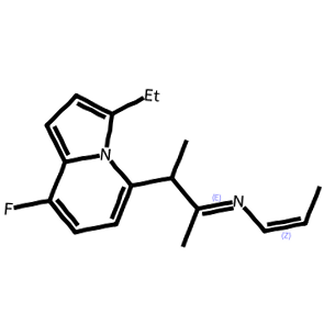 C/C=C\N=C(/C)C(C)c1ccc(F)c2ccc(CC)n12